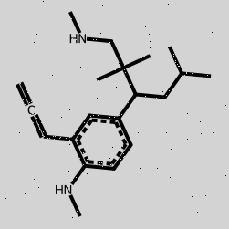 C=C=Cc1cc(C(CC(C)C)C(C)(C)CNC)ccc1NC